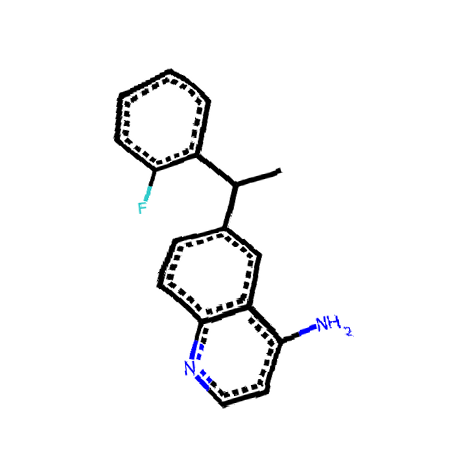 CC(c1ccc2nccc(N)c2c1)c1ccccc1F